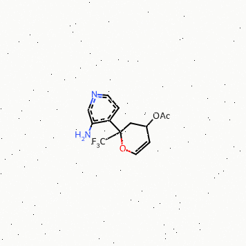 CC(=O)OC1C=COC(c2ccncc2N)(C(F)(F)F)C1